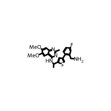 COc1cc2nc(C)nc(NC(C)c3cc(-c4ccc(F)cc4CN)cs3)c2cc1OC